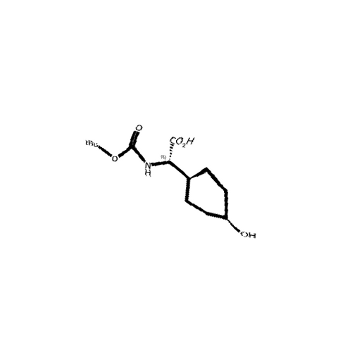 CC(C)(C)OC(=O)N[C@H](C(=O)O)[C@H]1CC[C@@H](O)CC1